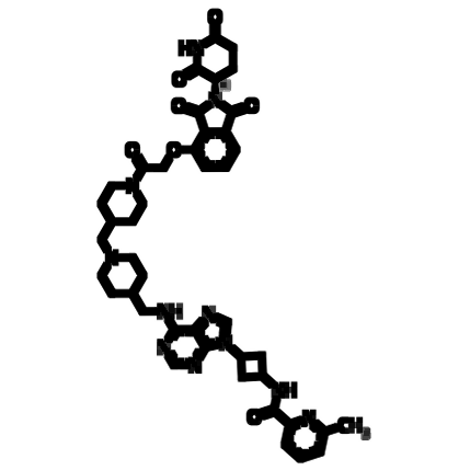 Cc1cccc(C(=O)NC2CC(n3cnc4c(NCC5CCN(CC6CCN(C(=O)COc7cccc8c7C(=O)N([C@@H]7CCC(=O)NC7=O)C8=O)CC6)CC5)ncnc43)C2)n1